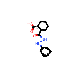 O=C(NNc1ccccc1)C1CCCC[C@@H]1C(=O)O